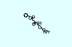 CCCOCCOCCNC(=O)CCC(=O)OCc1ccccc1